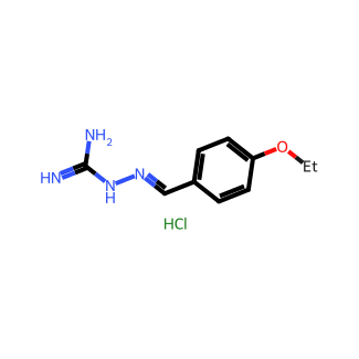 CCOc1ccc(C=NNC(=N)N)cc1.Cl